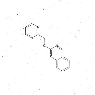 [c]1nc(OCc2ncccn2)cc2ccccc12